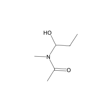 CCC(O)N(C)C(C)=O